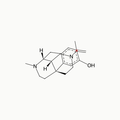 C=C(C)N1CC[C@]23CCN(C)[C@H](Cc4ccc(O)cc42)[C@@H]3C1